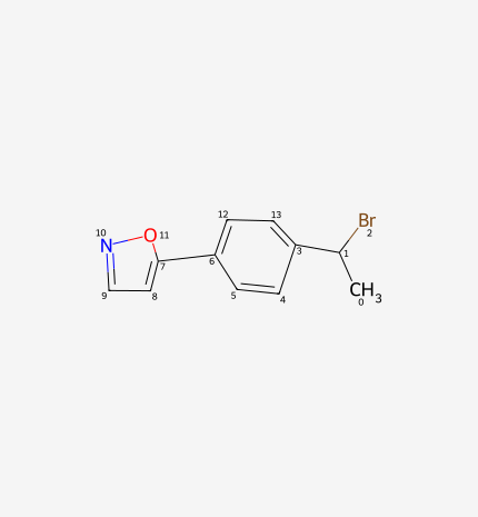 CC(Br)c1ccc(-c2ccno2)cc1